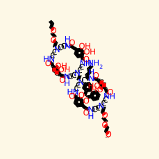 CCCOCCOCCN1CCNC(=O)c2ccc(c(O)c2O)C(=O)NCCN(CCN2CCNC(=O)c3ccc(c(OCc4ccccc4)c3OCc3ccccc3)C(=O)NCCN(CCOCCOCCOC)CCNC(=O)c3ccc(c(O)c3O)C(=O)NC(CCCCN)C2)CCNC(=O)c2ccc(c(O)c2O)C(=O)NCC1